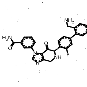 NCc1ccccc1-c1ccc(C2NCc3ncn(-c4cccc(C(N)=O)c4)c3C2=O)c(F)c1